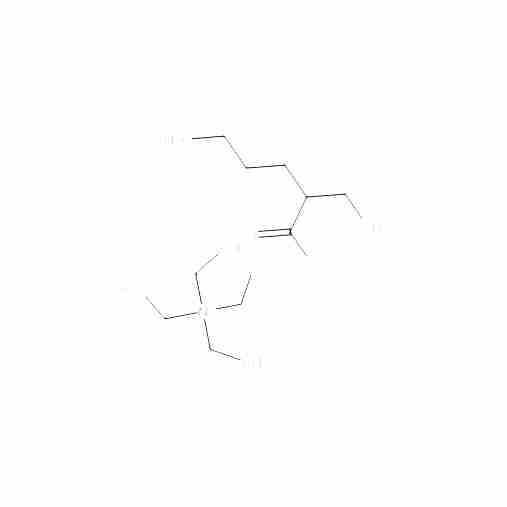 CCCCC(CC)C(=O)[O-].CC[N+](CC)(CC)CC